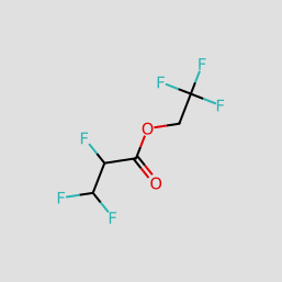 O=C(OCC(F)(F)F)C(F)C(F)F